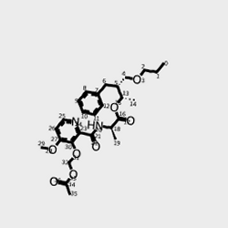 CCCOC[C@@H](Cc1ccccc1)[C@H](C)OC(=O)[C@@H](C)NC(=O)c1nccc(OC)c1OCOC(C)=O